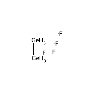 [F].[F].[F].[F].[GeH3][GeH3]